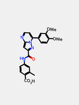 COc1ccc(-c2ccnc3cc(C(=O)Nc4ccc(C(=O)O)c(C)c4)nn23)cc1OC